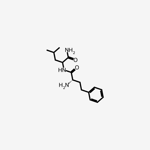 CC(C)CC(NC(=O)[C@@H](N)CCc1ccccc1)C(N)=O